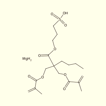 C=C(C)C(=O)OCC(CCCC)(COC(=O)C(=C)C)C(=O)OCCCS(=O)(=O)O.[MgH2]